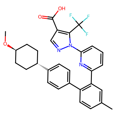 CO[C@H]1CC[C@H](c2ccc(-c3ccc(C)cc3-c3cccc(-n4ncc(C(=O)O)c4C(F)(F)F)n3)cc2)CC1